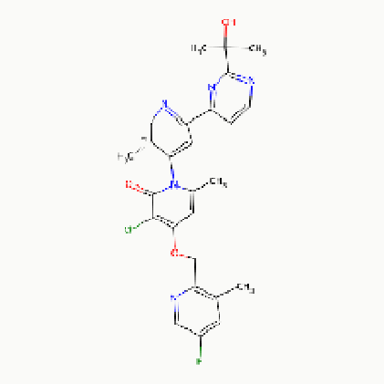 Cc1cc(F)cnc1COc1cc(C)n(C2=CC(c3ccnc(C(C)(C)O)n3)=NC[C@H]2C)c(=O)c1Cl